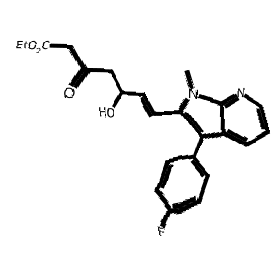 CCOC(=O)CC(=O)CC(O)/C=C/c1c(-c2ccc(F)cc2)c2cccnc2n1C